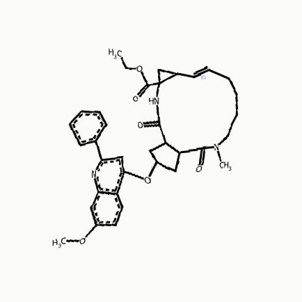 CCOC(=O)C12CC1/C=C/CCCCN(C)C(=O)C1CC(Oc3cc(-c4ccccc4)nc4cc(OC)ccc34)CC1C(=O)N2